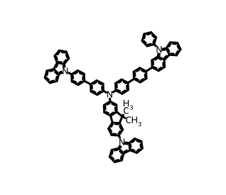 CC1(C)c2cc(N(c3ccc(-c4ccc(-c5ccc6c7ccccc7n(-c7ccccc7)c6c5)cc4)cc3)c3ccc(-c4ccc(-n5c6ccccc6c6ccccc65)cc4)cc3)ccc2-c2ccc(-n3c4ccccc4c4ccccc43)cc21